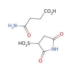 NC(=O)CCC(=O)O.O=C1CC(S(=O)(=O)O)C(=O)N1